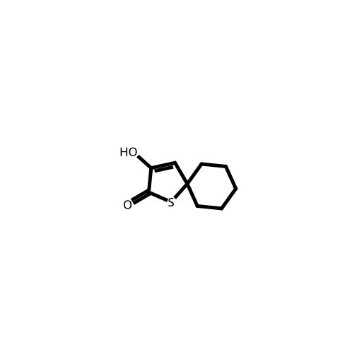 O=C1SC2(C=C1O)CCCCC2